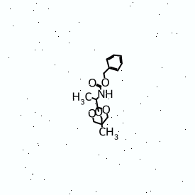 CC(NC(=O)OCc1ccccc1)C12OCC(C)(CO1)CO2